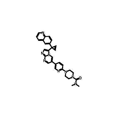 CN(C)C(=O)N1CCN(c2ccc(-c3cnc4ncc(C5(c6ccc7ncccc7c6)C=C5)n4c3)cn2)CC1